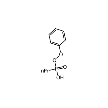 CCCP(=O)(O)OOc1ccccc1